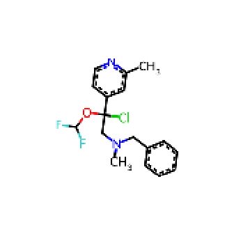 Cc1cc(C(Cl)(CN(C)Cc2ccccc2)OC(F)F)ccn1